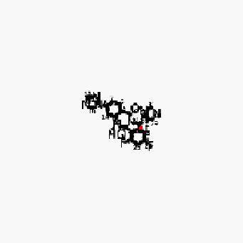 CCC(N1C(=O)c2ccc(-n3cncn3)cc2N(C)C1(O)c1ccc(F)cc1F)n1cncn1